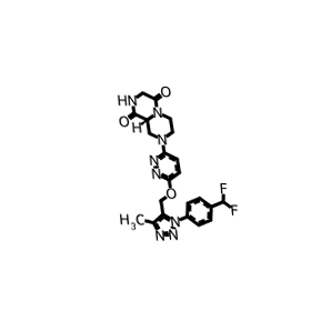 Cc1nnn(-c2ccc(C(F)F)cc2)c1COc1ccc(N2CCN3C(=O)CNC(=O)[C@H]3C2)nn1